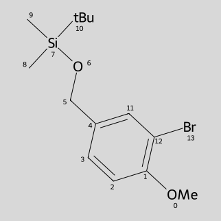 COc1ccc(CO[Si](C)(C)C(C)(C)C)cc1Br